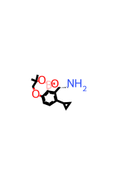 CC1(C)COc2ccc(C3CC3)c3c2B(O[C@@H]3CN)O1